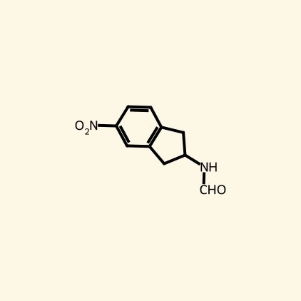 O=CNC1Cc2ccc([N+](=O)[O-])cc2C1